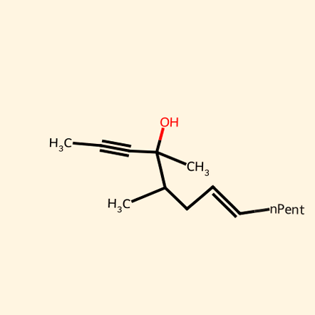 CC#CC(C)(O)C(C)CC=CCCCCC